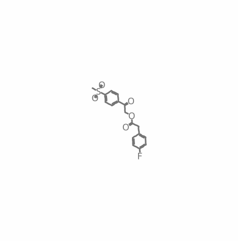 CS(=O)(=O)c1ccc(C(=O)COC(=O)Cc2ccc(F)cc2)cc1